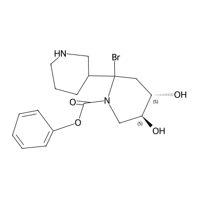 O=C(Oc1ccccc1)N1C[C@H](O)[C@@H](O)CC1(Br)C1CCCNC1